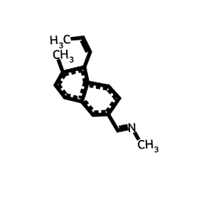 C/C=C\c1c(C)ccc2cc(/C=N/C)ccc12